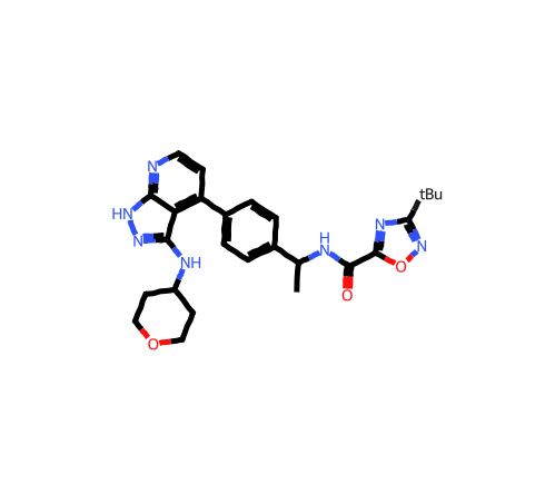 CC(NC(=O)c1nc(C(C)(C)C)no1)c1ccc(-c2ccnc3[nH]nc(NC4CCOCC4)c23)cc1